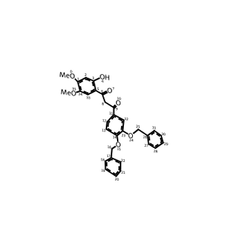 COc1cc(O)c(C(=O)CC(=O)c2ccc(OCc3ccccc3)c(OCc3ccccc3)c2)cc1OC